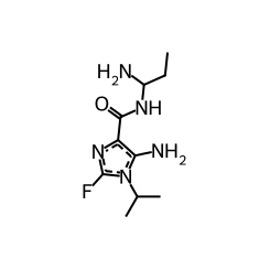 CCC(N)NC(=O)c1nc(F)n(C(C)C)c1N